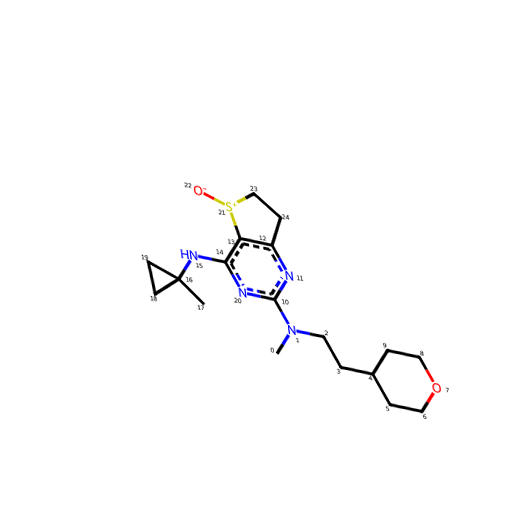 CN(CCC1CCOCC1)c1nc2c(c(NC3(C)CC3)n1)[S+]([O-])CC2